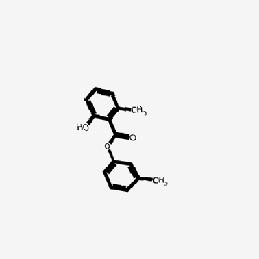 Cc1cccc(OC(=O)c2c(C)cccc2O)c1